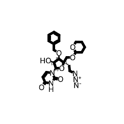 [N-]=[N+]=NCC[C@]1(COC2CCCCO2)O[C@@H](n2ccc(=O)[nH]c2=O)[C@@H](O)[C@H]1OCc1ccccc1